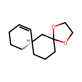 C1=C[C@]2(CCC1)CCCC1(C2)OCCO1